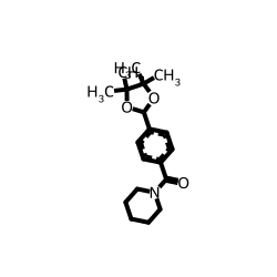 CC1(C)OC(c2ccc(C(=O)N3CCCCC3)cc2)OC1(C)C